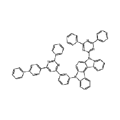 c1ccc(-c2ccc(-c3cc(-c4cccc(-n5c6ccccc6c6c7c8ccccc8n(-c8nc(-c9ccccc9)nc(-c9ccccc9)n8)c7ccc65)c4)nc(-c4ccccc4)n3)cc2)cc1